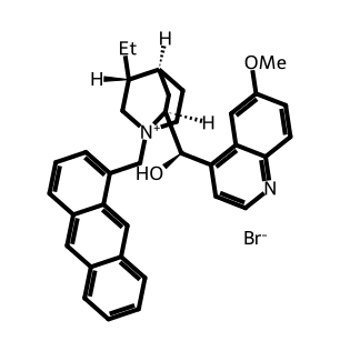 CC[C@H]1C[N+]2(Cc3cccc4cc5ccccc5cc34)CC[C@H]1C[C@H]2[C@H](O)c1ccnc2ccc(OC)cc12.[Br-]